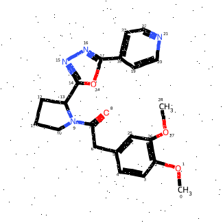 COc1ccc(CC(=O)N2CCCC2c2nnc(-c3ccncc3)o2)cc1OC